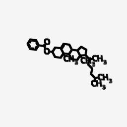 CC(C)CCCC(C)C1CCC2C3CC=C4CC(OC(=O)c5ccccc5)CCC4(C)C3CCC12C